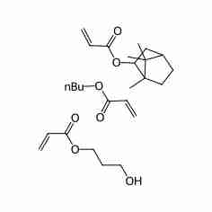 C=CC(=O)OC1CC2CCC1(C)C2(C)C.C=CC(=O)OCCCC.C=CC(=O)OCCCO